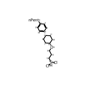 CCCCCc1ccc([C@H]2CC[C@H](OCCC[SiH](Cl)Cl)CC2)cc1